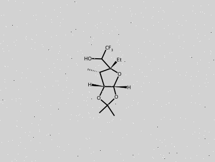 CC[C@@]1(C(O)C(F)(F)F)O[C@@H]2OC(C)(C)O[C@@H]2[C@@H]1C